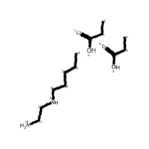 CCC(=O)O.CCC(=O)O.CCCCCNCCN